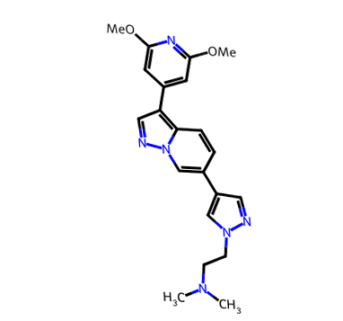 COc1cc(-c2cnn3cc(-c4cnn(CCN(C)C)c4)ccc23)cc(OC)n1